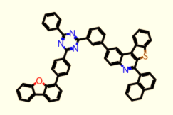 C1=Cc2c(cccc2-c2nc3ccc(-c4cccc(-c5nc(-c6ccccc6)nc(-c6ccc(-c7cccc8c7oc7ccccc78)cc6)n5)c4)cc3c3c2sc2ccccc23)CC1